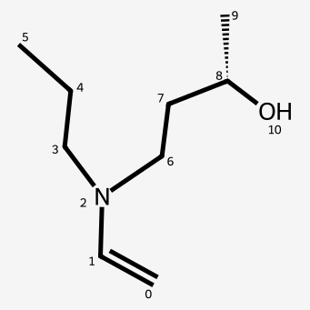 C=CN(CCC)CC[C@H](C)O